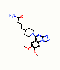 COc1cc2c(N3CCC(CCCC(N)=O)CC3)nc3nncn3c2cc1OC